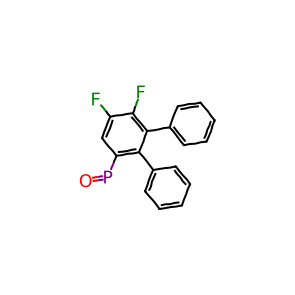 O=Pc1cc(F)c(F)c(-c2ccccc2)c1-c1ccccc1